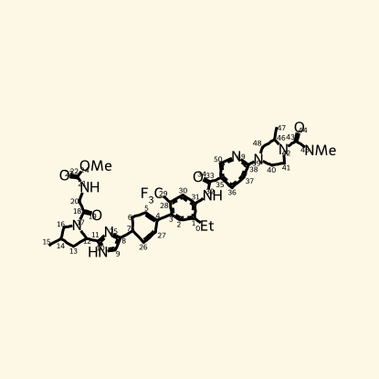 CCc1cc(C2=CCC(c3c[nH]c(C4CC(C)CN4C(=O)CNC(=O)OC)n3)C=C2)c(C(F)(F)F)cc1NC(=O)c1ccc(N2CCN(C(=O)NC)C(C)C2)nc1